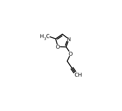 C#CCOc1ncc(C)o1